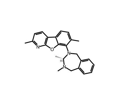 Cc1ccc2c(n1)oc1c(N3Cc4ccccc4CN(C)[C@@H]3C)c(C)ccc12